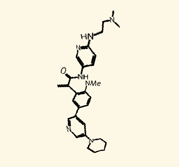 C=C(C(=O)Nc1ccc(NCCN(C)C)nc1)c1cc(-c2cncc(N3CCCCC3)c2)ccc1NC